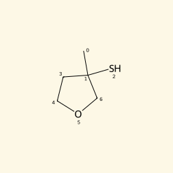 CC1(S)CCOC1